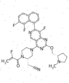 C=C(F)C(=O)N1CCN(c2nc(OC[C@@H]3CCCN3C)nc3c(F)c(-c4cccc5ccc(F)c(F)c45)ncc23)C[C@@H]1CC#N